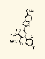 COC(=O)C1=C(C)NC(c2nc3ccc(OC)cc3s2)=NC1c1ccc(F)cc1Cl